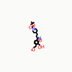 COCCc1ccc2c(CCC3CCN(C(=O)OC(C)(C)C)CC3)noc2c1CO